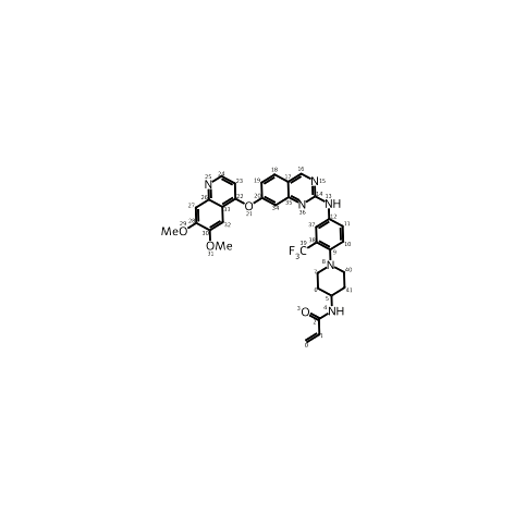 C=CC(=O)NC1CCN(c2ccc(Nc3ncc4ccc(Oc5ccnc6cc(OC)c(OC)cc56)cc4n3)cc2C(F)(F)F)CC1